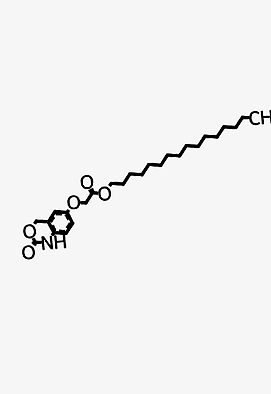 CCCCCCCCCCCCCCCCOC(=O)COc1ccc2c(c1)COC(=O)N2